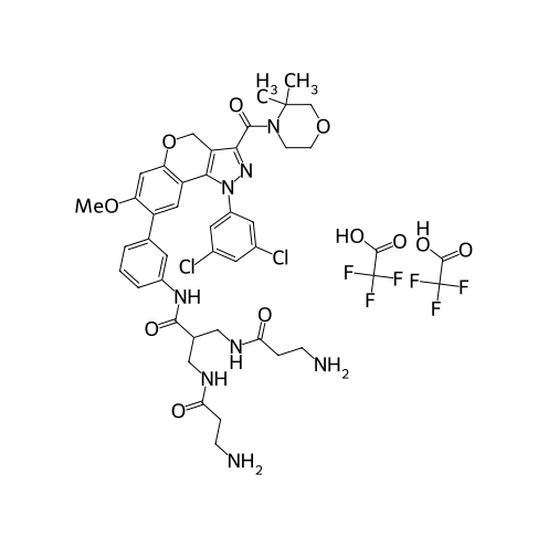 COc1cc2c(cc1-c1cccc(NC(=O)C(CNC(=O)CCN)CNC(=O)CCN)c1)-c1c(c(C(=O)N3CCOCC3(C)C)nn1-c1cc(Cl)cc(Cl)c1)CO2.O=C(O)C(F)(F)F.O=C(O)C(F)(F)F